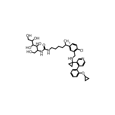 CC(CCCCNC(=O)NC(CO)C(O)C(O)C(O)CO)c1ccc(Cl)c(CNC2(c3cnccc3-c3ccccc3OC3CC3)CC2)c1